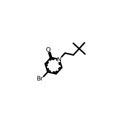 CC(C)(C)CCn1ccc(Br)cc1=O